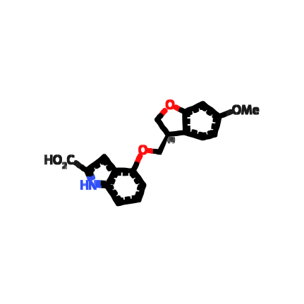 COc1ccc2c(c1)OC[C@@H]2COc1cccc2[nH]c(C(=O)O)cc12